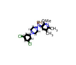 COc1nc(C)c(C)cc1N(S)N1CCN(c2cc(Cl)cc(Cl)c2)CC1